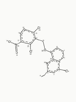 Cc1cc(Cl)c2cccc(OCc3c(Cl)ccc([N+](=O)[O-])c3Cl)c2n1